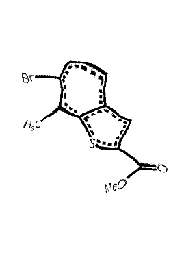 COC(=O)c1cc2ccc(Br)c(C)c2s1